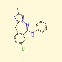 Cc1cn2c(n1)Cc1ccc(Cl)cc1C(Nc1ccccc1)=N2